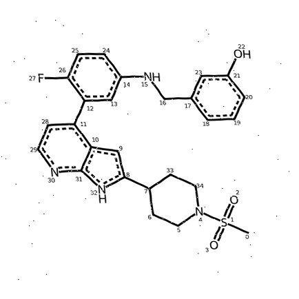 CS(=O)(=O)N1CCC(c2cc3c(-c4cc(NCc5cccc(O)c5)ccc4F)ccnc3[nH]2)CC1